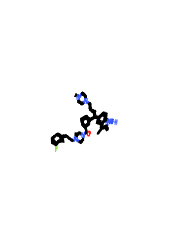 Cc1[nH]c2ccc(C(CCCN3CCN(C)CC3)c3cccc(C(=O)N4CCN(CCc5cccc(F)c5)CC4)c3)cc2c1C